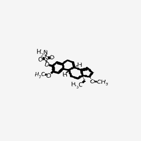 CC[C@]12CC[C@@H]3c4cc(OC)c(OS(N)(=O)=O)cc4CC[C@H]3C1=CC[C@@H]2OC